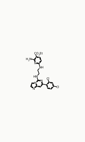 CCOC(=O)c1ccc(NCCNc2nc(-c3ccc(Cl)cc3Cl)cc3nccn23)nc1N